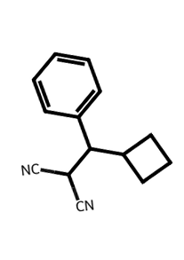 N#CC(C#N)C(c1ccccc1)C1CCC1